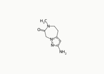 CN1CCc2cc(N)nn2CC1=O